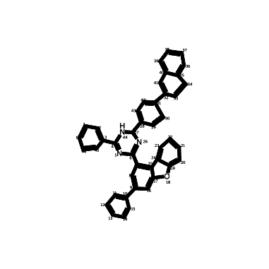 c1ccc(C2=NC(c3cc(-c4ccccc4)cc4oc5ccccc5c34)=NC(c3ccc(-c4ccc5ccccc5c4)cc3)N2)cc1